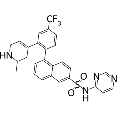 CC1CC(c2cc(C(F)(F)F)ccc2-c2cccc3cc(S(=O)(=O)Nc4ccncn4)ccc23)=CCN1